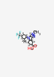 [2H]c1cc(C(F)(F)F)ccc1-n1c2ccc(C(=O)O)cc2c2nn(C)cc21